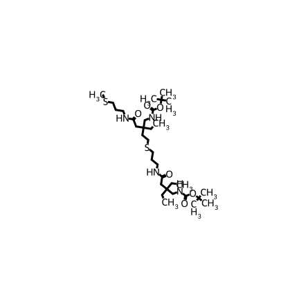 CCC(CC)(CNC(=O)OC(C)(C)C)CC(=O)NCCCSCCC(CC)(CNC(=O)OC(C)(C)C)CC(=O)NCCCSC